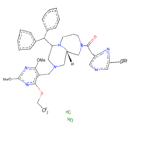 COc1cncc(C(=O)N2CCN3C(C(c4ccccc4)c4ccccc4)CN(Cc4c(OC)nc(OC)nc4OCC(F)(F)F)C[C@H]3C2)n1.Cl.Cl